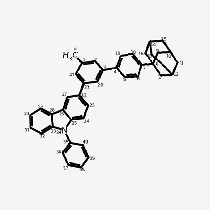 Cc1cc(-c2ccc(C34CC5CC(CC(C5)C3)C4)cc2)cc(-c2ccc3c(c2)c2ccccc2n3-c2ccccc2)c1